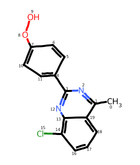 Cc1nc(-c2ccc(OO)cc2)nc2c(Cl)cccc12